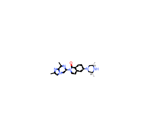 Cc1cn2cc(-n3ccc4cc(N5C[C@@H](C)N[C@@H](C)C5)ccc4c3=O)nc(C)c2n1